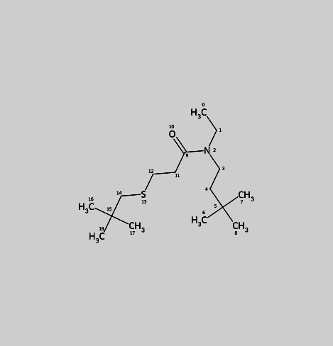 CCN(CCC(C)(C)C)C(=O)CCSCC(C)(C)C